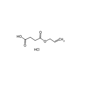 C=CCOC(=O)CCC(=O)O.Cl